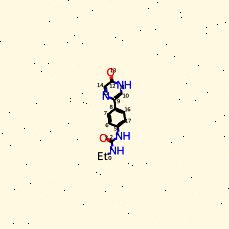 CCNC(=O)Nc1ccc(-c2c[nH]c(=O)cn2)cc1